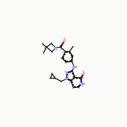 Cc1cc(Nc2nn(CC3CC3)c3cc[nH]c(=O)c23)ccc1C(=O)N1CC(C)(C)C1